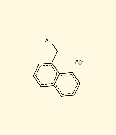 CC(=O)[CH]c1cccc2ccccc12.[Ag]